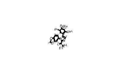 CCNC(=O)c1nnc(-c2cc(C(C)C)c(OC)cc2O)n1-c1ccc2c(c1)OCO2